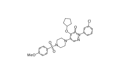 COc1ccc(S(=O)(=O)N2CCN(c3cnn(-c4cccc(Cl)c4)c(=O)c3OC3CCCC3)CC2)cc1